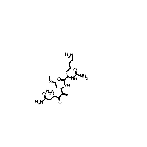 C=C(C(=O)[C@@H](N)CC(N)=O)[C@H](CCSC)NC(=O)[C@H](CCCCN)NC(N)=O